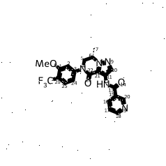 COc1cc(N2C[C@H](C)n3ncc(NC(=O)c4cccnc4)c3C2=O)ccc1C(F)(F)F